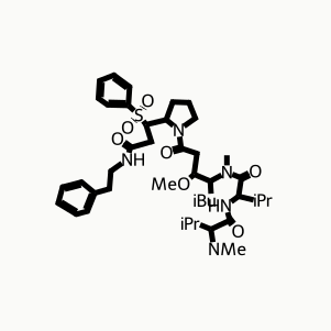 CCC(C)C(C(CC(=O)N1CCCC1C(CC(=O)NCCc1ccccc1)S(=O)(=O)c1ccccc1)OC)N(C)C(=O)C(NC(=O)C(NC)C(C)C)C(C)C